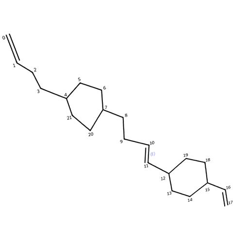 C=CCCC1CCC(CC/C=C/C2CCC(C=C)CC2)CC1